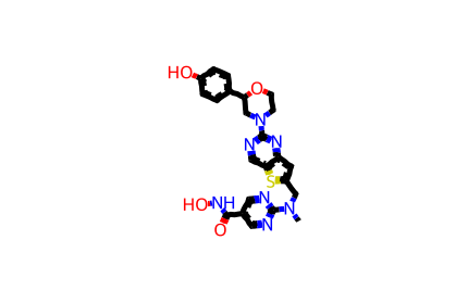 CN(Cc1cc2nc(N3CCOC(c4ccc(O)cc4)C3)ncc2s1)c1ncc(C(=O)NO)cn1